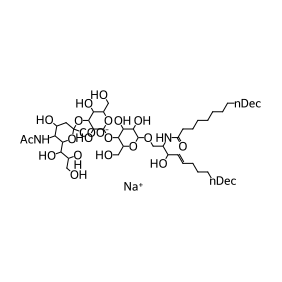 CCCCCCCCCCCCCC=CC(O)C(COC1OC(CO)C(OC2OC(CO)C(O)C(OC3(C(=O)[O-])CC(O)C(NC(C)=O)C(C(O)C(O)CO)O3)C2O)C(O)C1O)NC(=O)CCCCCCCCCCCCCCCCC.[Na+]